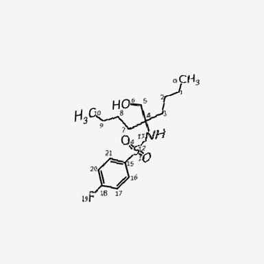 CCCCC(CO)(CCCC)NS(=O)(=O)c1ccc(F)cc1